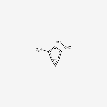 O=CO.O=[N+]([O-])c1ccc2cc1-2